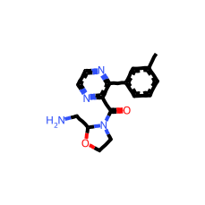 Cc1cccc(-c2nccnc2C(=O)N2CCOC2CN)c1